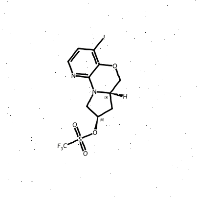 O=S(=O)(O[C@@H]1C[C@H]2COc3c(I)ccnc3N2C1)C(F)(F)F